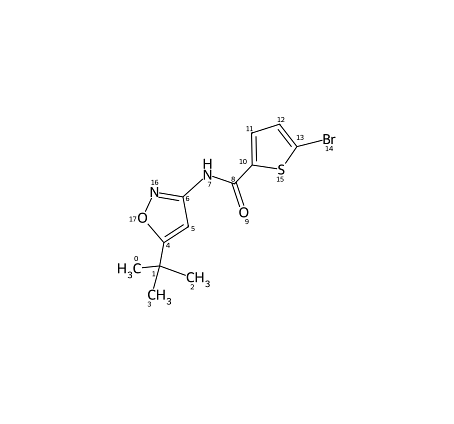 CC(C)(C)c1cc(NC(=O)c2ccc(Br)s2)no1